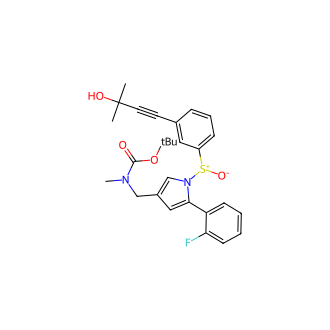 CN(Cc1cc(-c2ccccc2F)n([S+]([O-])c2cccc(C#CC(C)(C)O)c2)c1)C(=O)OC(C)(C)C